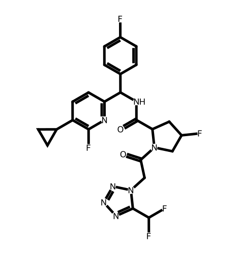 O=C(NC(c1ccc(F)cc1)c1ccc(C2CC2)c(F)n1)C1CC(F)CN1C(=O)Cn1nnnc1C(F)F